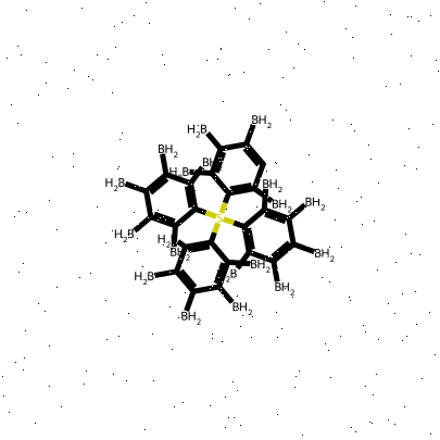 Bc1cc(B)c(S(c2c(B)c(B)c(B)c(B)c2B)(c2c(B)c(B)c(B)c(B)c2B)c2c(B)c(B)c(B)c(B)c2B)c(B)c1B